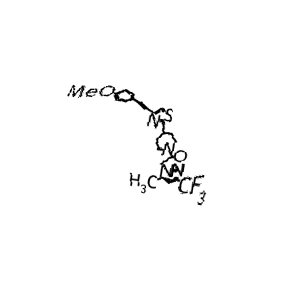 COc1ccc(C#Cc2csc(C3CCN(C(=O)Cn4nc(C(F)(F)F)cc4C)CC3)n2)cc1